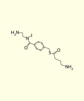 NCCCC(=O)SCc1ccc(C(=O)N(I)CCN)cc1